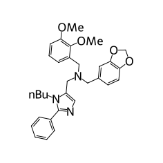 CCCCn1c(CN(Cc2ccc3c(c2)OCO3)Cc2cccc(OC)c2OC)cnc1-c1ccccc1